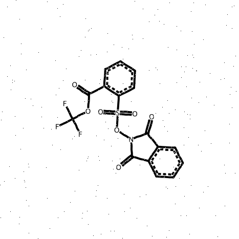 O=C(OC(F)(F)F)c1ccccc1S(=O)(=O)ON1C(=O)c2ccccc2C1=O